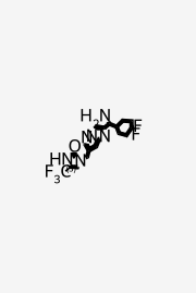 NC(c1cn2ncc(CN3C[C@@H](C(F)(F)F)NC3=O)cc2n1)C1CCC(F)(F)CC1